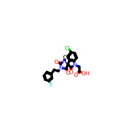 CN1C(=O)N(CCc2cccc(F)c2)C(=O)[C@]12C(=O)N(CC(=O)O)c1ccc(Cl)cc12